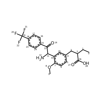 CCC(Cc1ccc(OC)c(C(N)C(=O)c2ccc(C(F)(F)F)cc2)c1)C(=O)O